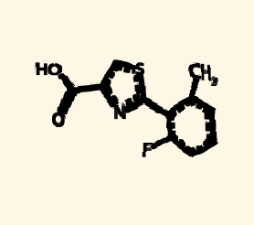 Cc1cccc(F)c1-c1nc(C(=O)O)cs1